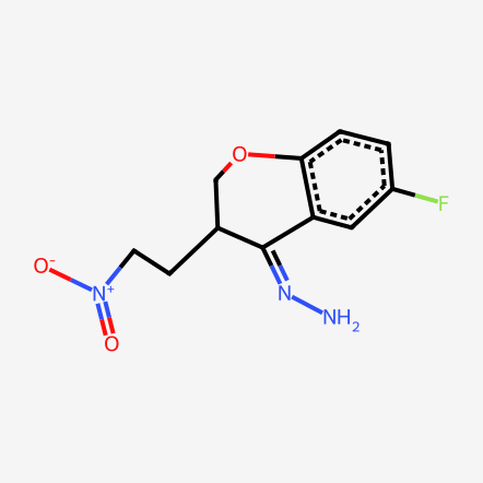 N/N=C1\c2cc(F)ccc2OCC1CC[N+](=O)[O-]